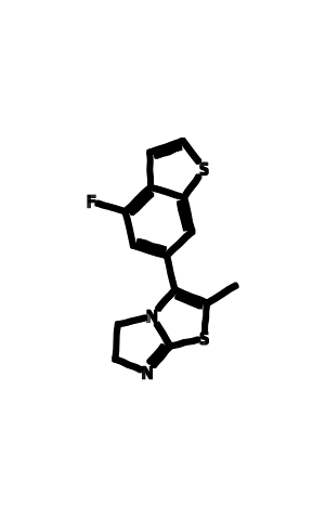 CC1=C(c2cc(F)c3ccsc3c2)N2CCN=C2S1